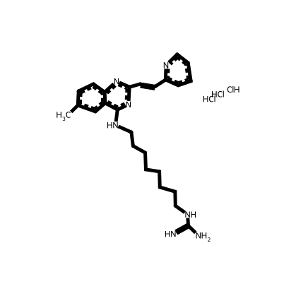 Cc1ccc2nc(/C=C/c3ccccn3)nc(NCCCCCCCCNC(=N)N)c2c1.Cl.Cl.Cl